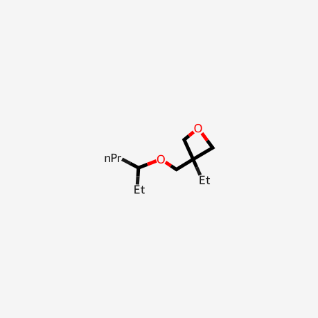 CCCC(CC)OCC1(CC)COC1